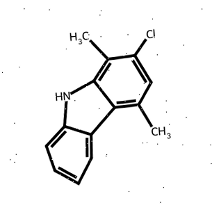 Cc1c(Cl)cc(C)c2c1[nH]c1ccccc12